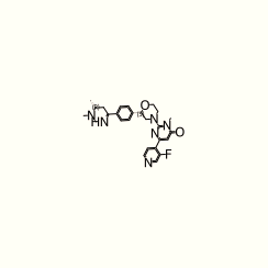 C[C@H](CC(=N)c1ccc([C@H]2CN(c3nc(-c4ccncc4F)cc(=O)n3C)CCO2)cc1)N(C)C